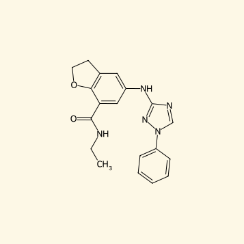 CCNC(=O)c1cc(Nc2ncn(-c3ccccc3)n2)cc2c1OCC2